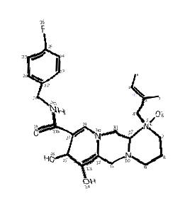 C/C=C(\C)C[N+]1([O-])CCCN2CC3=C(O)C(O)C(C(=O)NCc4ccc(F)cc4)=CN3CC21